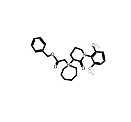 Cc1cccc(C)c1N1CCCC([N+]2(CC(=O)OCc3ccccc3)CCCCCC2)C1=O